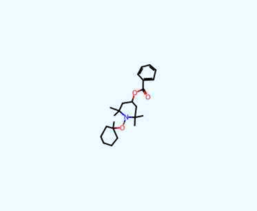 CC1(ON2C(C)(C)CC(OC(=O)c3ccccc3)CC2(C)C)CCCCC1